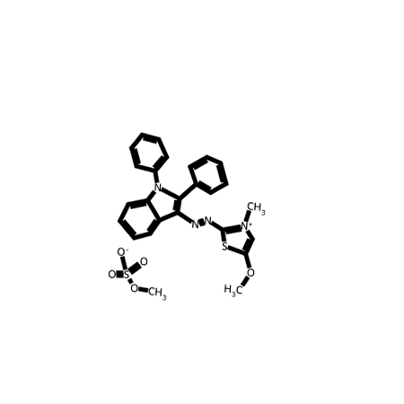 COS(=O)(=O)[O-].COc1c[n+](C)c(N=Nc2c(-c3ccccc3)n(-c3ccccc3)c3ccccc23)s1